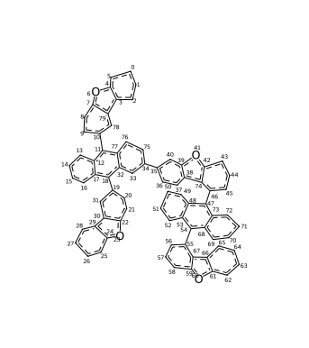 c1ccc2c(c1)oc1ccc(-c3c4ccccc4c(-c4ccc5oc6ccccc6c5c4)c4cc(-c5ccc6c(c5)oc5cccc(-c7c8ccccc8c(-c8cccc9oc%10ccccc%10c89)c8ccccc78)c56)ccc34)cc12